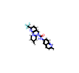 Cc1ccc2cc(NC(=O)NCc3ccc(C(F)(F)F)nc3N3CCC(C)CC3)ccc2n1